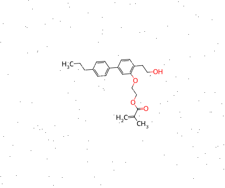 C=C(C)C(=O)OCCOc1cc(-c2ccc(CCC)cc2)ccc1CCO